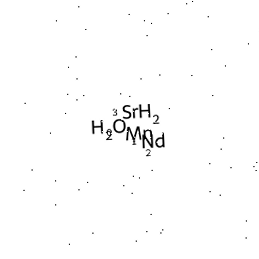 O.[Mn].[Nd].[SrH2]